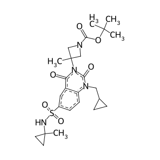 CC1(NS(=O)(=O)c2ccc3c(c2)c(=O)n(C2(C)CN(C(=O)OC(C)(C)C)C2)c(=O)n3CC2CC2)CC1